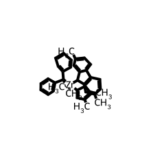 CC1=C(C)C[C]([Zr]([CH3])([CH3])(=[C](c2ccccc2)c2ccccc2)[CH]2c3cc(C)ccc3-c3ccc(C)cc32)=C1